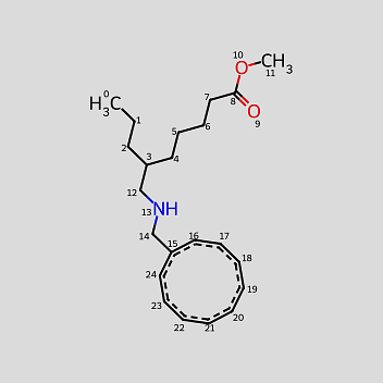 CCCC(CCCCC(=O)OC)CNCc1ccccccccc1